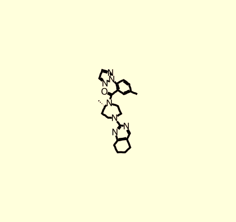 Cc1ccc(-n2nccn2)c(C(=O)N2CCN(c3ncc4c(n3)CCCC4)CC[C@@H]2C)c1